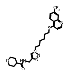 O=C(NCc1cn(CCCCCCSc2ccnc3cc(C(F)(F)F)ccc23)nn1)C1CCOCC1